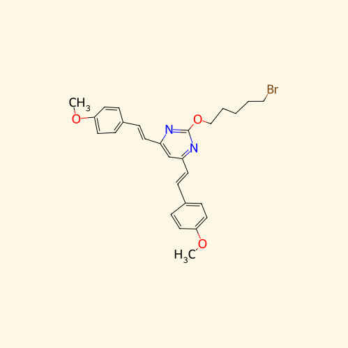 COc1ccc(C=Cc2cc(C=Cc3ccc(OC)cc3)nc(OCCCCCBr)n2)cc1